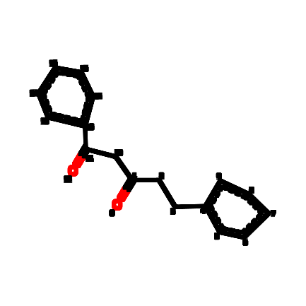 O=C(CCc1ccccc1)CC(=O)c1ccccc1